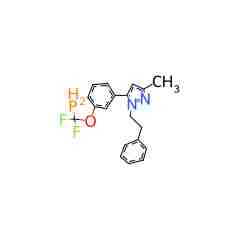 Cc1cc(-c2cccc(OC(F)(F)P)c2)n(CCc2ccccc2)n1